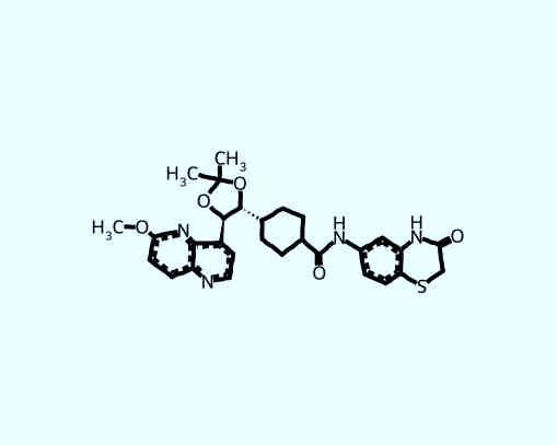 COc1ccc2nccc([C@H]3OC(C)(C)O[C@@H]3C3CCC(C(=O)Nc4ccc5c(c4)NC(=O)CS5)CC3)c2n1